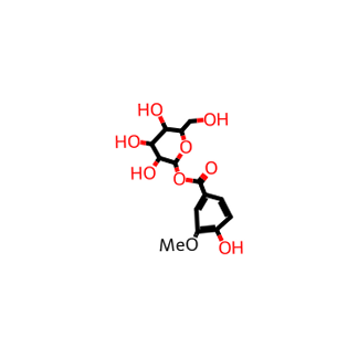 COc1cc(C(=O)OC2OC(CO)C(O)C(O)C2O)ccc1O